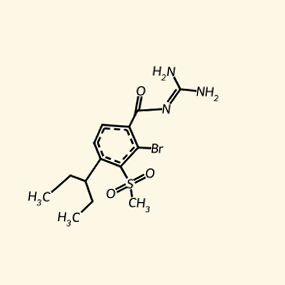 CCC(CC)c1ccc(C(=O)N=C(N)N)c(Br)c1S(C)(=O)=O